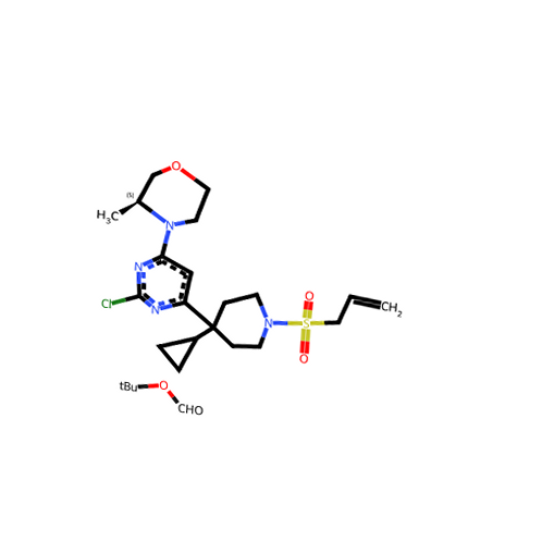 C=CCS(=O)(=O)N1CCC(c2cc(N3CCOC[C@@H]3C)nc(Cl)n2)(C2CC2)CC1.CC(C)(C)OC=O